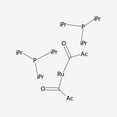 CC(=O)[C](=O)[Ru][C](=O)C(C)=O.CC(C)P(C(C)C)C(C)C.CC(C)P(C(C)C)C(C)C